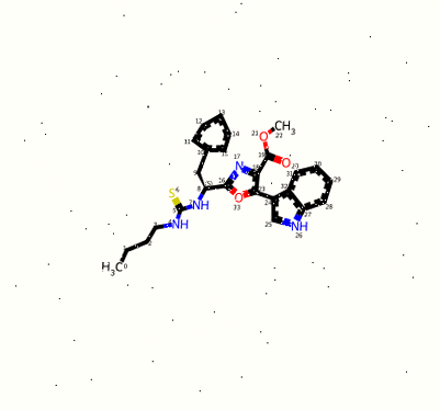 CCCCNC(=S)N[C@@H](Cc1ccccc1)c1nc(C(=O)OC)c(-c2c[nH]c3ccccc23)o1